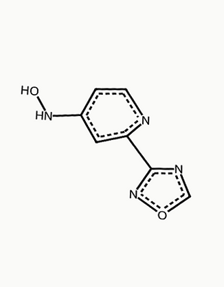 ONc1ccnc(-c2ncon2)c1